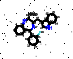 CNC1N=c2ccccc2=C(c2ccccc2F)N=C1Cc1c[nH]c2ccccc12